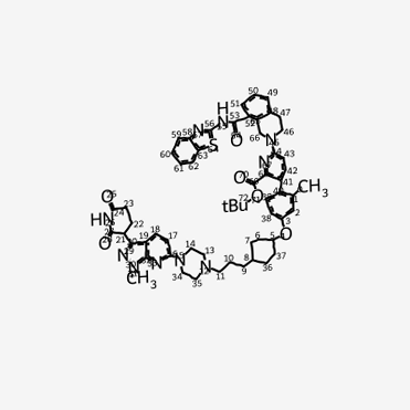 Cc1cc(OC2CCC(CCCN3CCN(c4ccc5c(C6CCC(=O)NC6=O)nn(C)c5n4)CC3)CC2)ccc1-c1ccc(N2CCc3cccc(C(=O)Nc4nc5ccccc5s4)c3C2)nc1C(=O)OC(C)(C)C